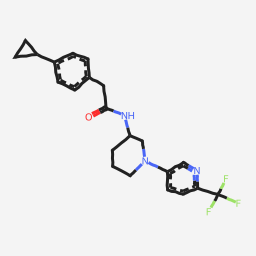 O=C(Cc1ccc(C2CC2)cc1)NC1CCCN(c2ccc(C(F)(F)F)nc2)C1